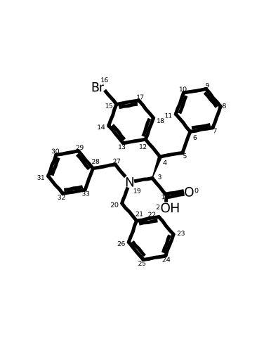 O=C(O)[C@H](C(Cc1ccccc1)c1ccc(Br)cc1)N(Cc1ccccc1)Cc1ccccc1